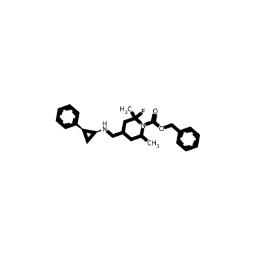 CC1CC(CN[C@@H]2C[C@H]2c2ccccc2)CC(C)(F)N1C(=O)OCc1ccccc1